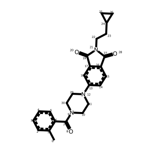 Cc1ccccc1C(=O)N1CCN(c2ccc3c(c2)C(=O)N(CCC2CC2)C3=O)CC1